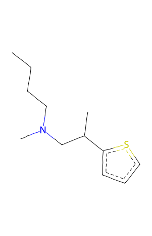 CCCCN(C)CC(C)c1cccs1